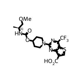 COC[C@H](C)NC(=O)OC1CCN(c2nc(C(F)(F)F)c3scc(C(=O)O)c3n2)CC1